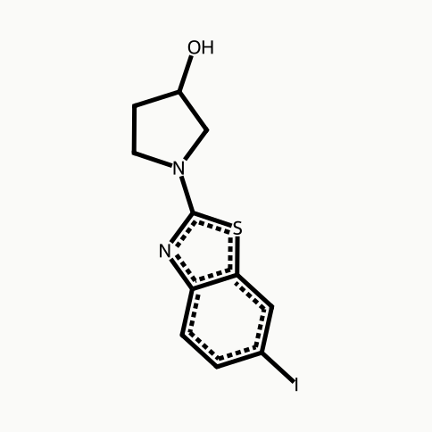 OC1CCN(c2nc3ccc(I)cc3s2)C1